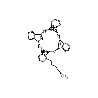 C=CCCCCc1cccc2c3nc4nc(nc5[nH]c(nc6nc(nc([nH]3)c12)-c1ccccc1-6)c1ccccc51)-c1ccccc1-4